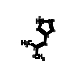 CC(C)=Cc1cn[nH]c1